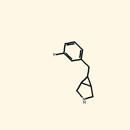 Fc1cccc(CC2C3CNCC32)c1